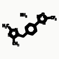 Cc1nc(C)n(Cc2ccc(-c3noc(C(F)(F)F)n3)cc2)n1.N